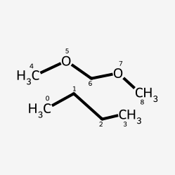 CCCC.COCOC